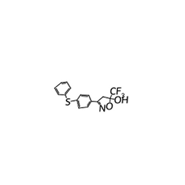 OC1(C(F)(F)F)CC(c2ccc(Sc3ccccc3)cc2)=NO1